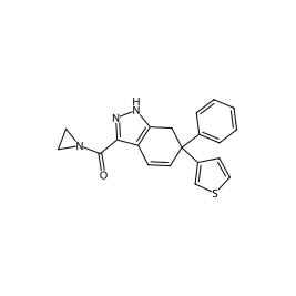 O=C(c1n[nH]c2c1C=CC(c1ccccc1)(c1ccsc1)C2)N1CC1